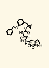 CC(C)C[C@H](NC(=O)OC1(Cc2cccc(OCc3ccccc3)c2)CC1)C(=O)N[C@H](C=O)C[C@@H]1CCNC1=O